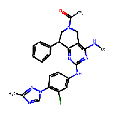 CCNc1nc(Nc2ccc(-n3cnc(C)n3)c(F)c2)nc2c1CN(C(=O)C(F)(F)F)CC2c1ccccc1